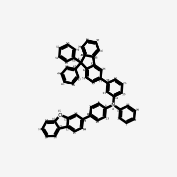 c1ccc(N(c2ccc(-c3ccc4c(c3)oc3ccccc34)cc2)c2cccc(-c3ccc4c(c3)-c3ccccc3C4(c3ccccc3)c3ccccc3)c2)cc1